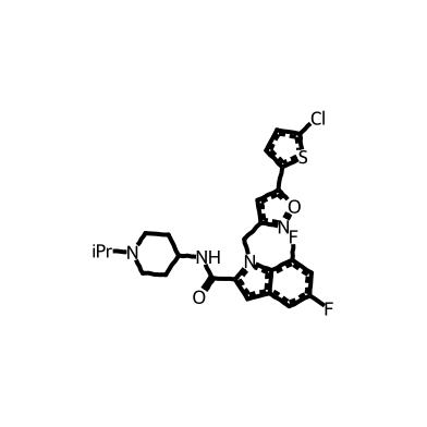 CC(C)N1CCC(NC(=O)c2cc3cc(F)cc(F)c3n2Cc2cc(-c3ccc(Cl)s3)on2)CC1